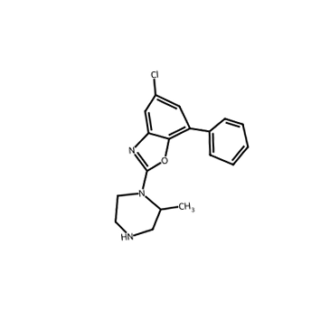 CC1CNCCN1c1nc2cc(Cl)cc(-c3ccccc3)c2o1